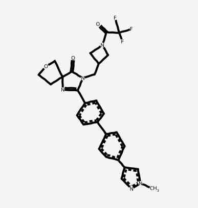 Cn1cc(-c2ccc(-c3ccc(C4=NC5(CCOC5)C(=O)N4CC4CN(C(=O)C(F)(F)F)C4)cc3)cc2)cn1